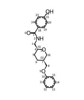 O=C(NC[C@@H]1CC[C@H](COc2ccccc2)CO1)c1ccc(O)cc1